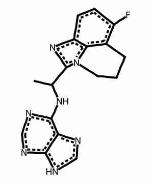 CC(Nc1ncnc2[nH]cnc12)c1nc2ccc(F)c3c2n1CCC3